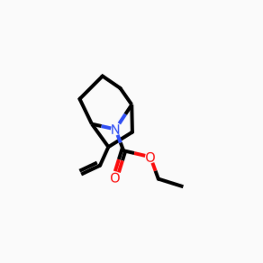 C=CC1CC2CCCC1N2C(=O)OCC